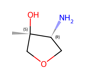 C[C@@]1(O)COC[C@H]1N